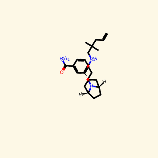 C=CCC(C)(C)CNCCCN1[C@@H]2CC[C@H]1C[C@@H](c1cccc(C(N)=O)c1)C2